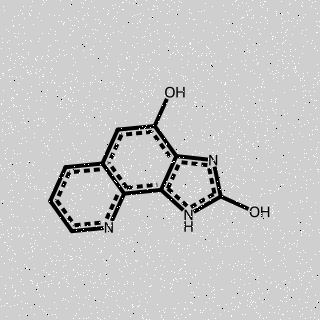 Oc1nc2c(O)cc3cccnc3c2[nH]1